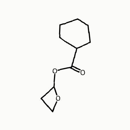 O=C(OC1CCO1)C1CCCCC1